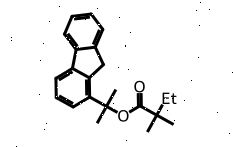 CCC(C)(C)C(=O)OC(C)(C)c1cccc2c1Cc1ccccc1-2